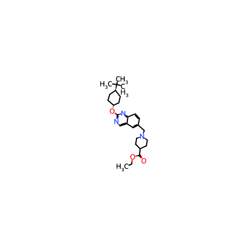 CCOC(=O)C1CCN(Cc2ccc3nc(O[C@H]4CC[C@H](C(C)(C)C)CC4)ncc3c2)CC1